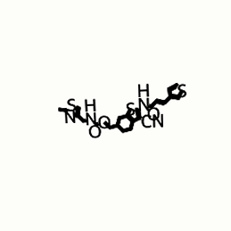 Cc1nc(CNC(=O)OCC2CCc3c(sc(NC(=O)C=Cc4ccsc4)c3C#N)C2)cs1